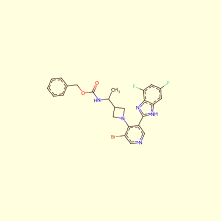 CC(NC(=O)OCc1ccccc1)C1CN(c2c(Br)cncc2-c2nc3c(F)cc(F)cc3[nH]2)C1